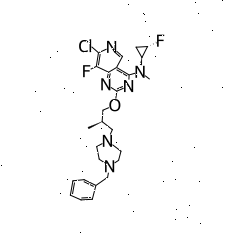 C[C@@H](COc1nc(N(C)[C@H]2C[C@@H]2F)c2cnc(Cl)c(F)c2n1)CN1CCN(Cc2ccccc2)CC1